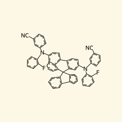 N#Cc1cccc(N(c2ccc3c(c2)C2(c4ccccc4-c4ccccc42)c2cccc4c(N(c5cccc(C#N)c5)c5ccccc5F)ccc-3c24)c2ccccc2F)c1